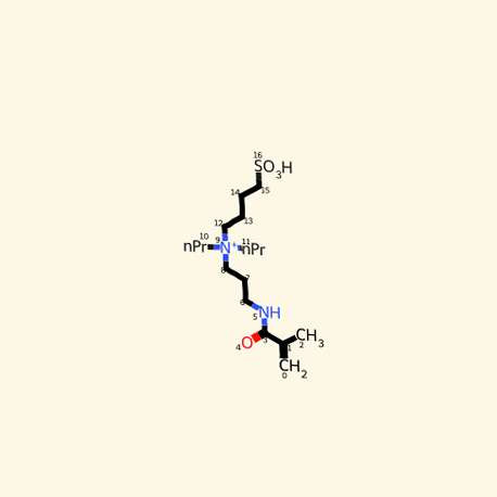 C=C(C)C(=O)NCCC[N+](CCC)(CCC)CCCCS(=O)(=O)O